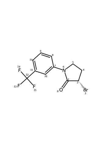 O=C1[C@@H](Br)CCN1c1cccc(C(F)(F)F)c1